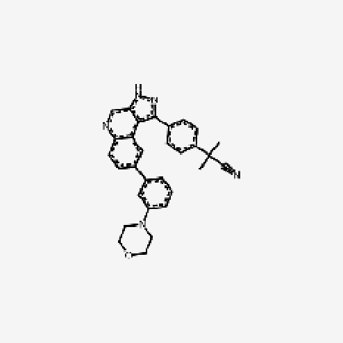 CC(C)(C#N)c1ccc(-c2n[nH]c3cnc4ccc(-c5cccc(N6CCOCC6)c5)cc4c23)cc1